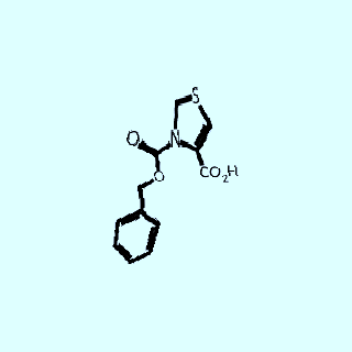 O=C(O)C1=CSCN1C(=O)OCc1ccccc1